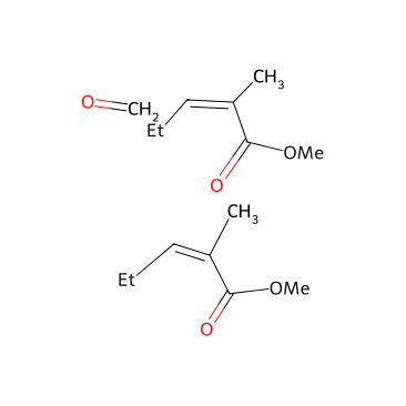 C=O.CCC=C(C)C(=O)OC.CCC=C(C)C(=O)OC